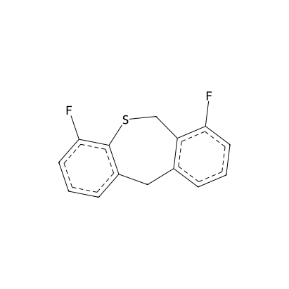 Fc1cccc2c1CSc1c(F)cccc1C2